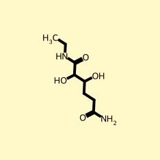 CCNC(=O)C(O)C(O)CCC(N)=O